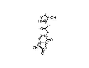 O=C(C[C@@H]1NCC[C@H]1O)CN1C=NC2C(Cl)=C(Cl)SC2C1=O